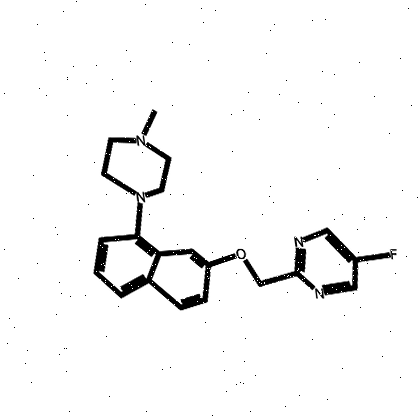 CN1CCN(c2cccc3ccc(OCc4ncc(F)cn4)cc23)CC1